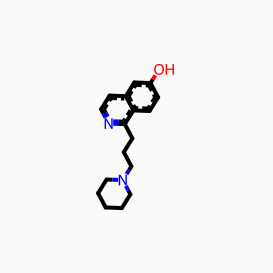 Oc1ccc2c(CCCN3CCCCC3)nccc2c1